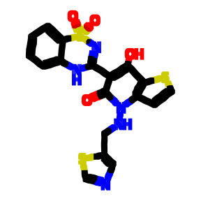 O=c1c(C2=NS(=O)(=O)c3ccccc3N2)c(O)c2sccc2n1NCc1cncs1